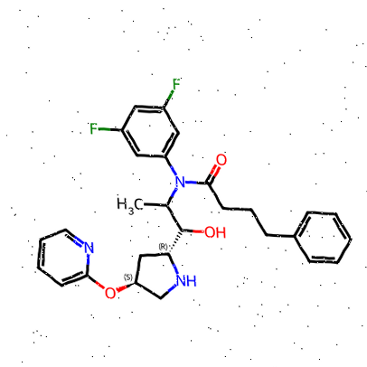 CC(C(O)[C@H]1C[C@H](Oc2ccccn2)CN1)N(C(=O)CCCc1ccccc1)c1cc(F)cc(F)c1